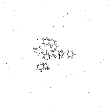 O=C(N[C@H](CCc1c[nH]c2ccccc12)C(=O)N[C@H](Cc1ccc2ccccc2c1)c1nc(-c2ccccc2)c[nH]1)C1CCNCC1